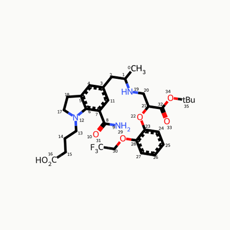 CC(Cc1cc2c(c(C(N)=O)c1)N(CCCC(=O)O)CC2)NCC(Oc1ccccc1OCC(F)(F)F)C(=O)OC(C)(C)C